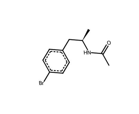 CC(=O)N[C@H](C)Cc1ccc(Br)cc1